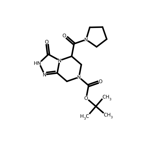 CC(C)(C)OC(=O)N1Cc2n[nH]c(=O)n2C(C(=O)N2CCCC2)C1